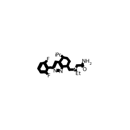 CCN(CC(N)=O)CC1CCC(C(C)C)c2cc(-c3c(F)cccc3F)nnc21